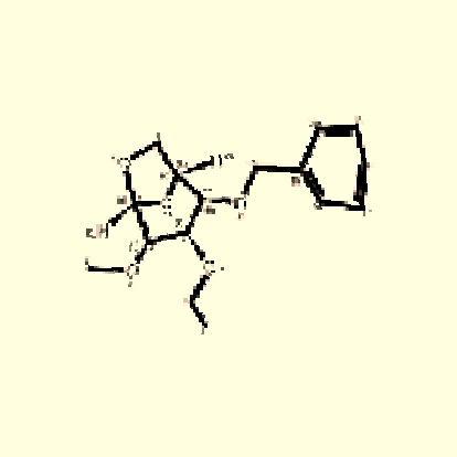 CCO[C@H]1[C@@H](OC)[C@@H]2OC[C@@H](O2)[C@H]1OCc1ccccc1